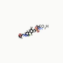 C/C(=C\c1cc(C)c(-c2ccc(NCc3ccco3)cc2F)cc1C)S(=O)(=O)NC(C)C(=O)O